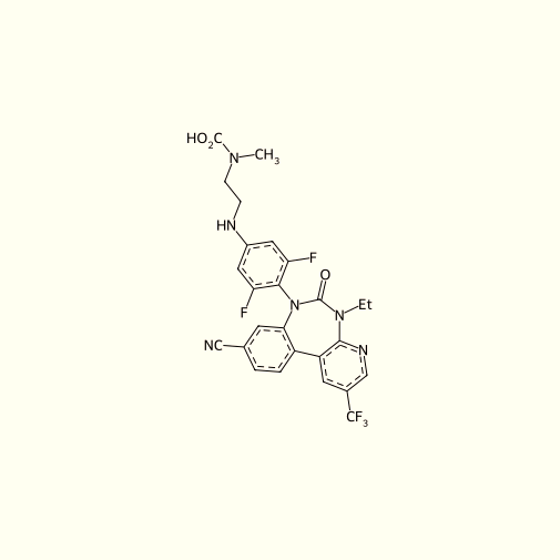 CCN1C(=O)N(c2c(F)cc(NCCN(C)C(=O)O)cc2F)c2cc(C#N)ccc2-c2cc(C(F)(F)F)cnc21